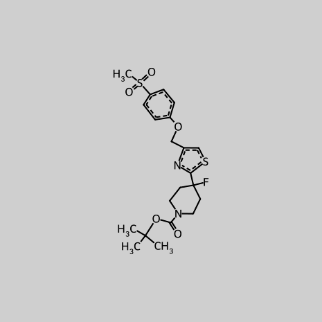 CC(C)(C)OC(=O)N1CCC(F)(c2nc(COc3ccc(S(C)(=O)=O)cc3)cs2)CC1